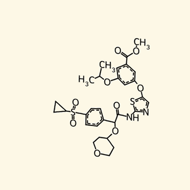 COC(=O)c1cc(Oc2cnc(NC(=O)C(OC3CCOCC3)c3ccc(S(=O)(=O)C4CC4)cc3)s2)cc(OC(C)C)c1